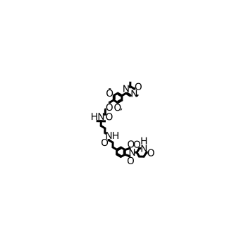 COc1cc(-c2cn(C)c(=O)c(C)n2)cc(OC)c1COCC(=O)NC(C)(C)CCCNC(=O)CCc1ccc2c(c1)C(=O)N(C1CCC(=O)NC1=O)C2=O